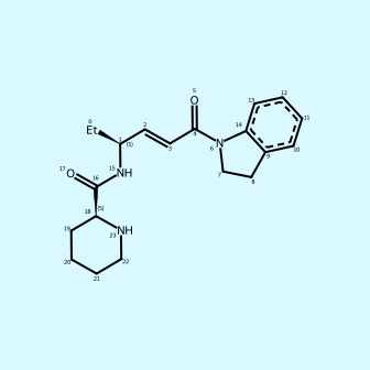 CC[C@@H](C=CC(=O)N1CCc2ccccc21)NC(=O)[C@@H]1CCCCN1